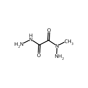 CN(N)C(=O)C(=O)NN